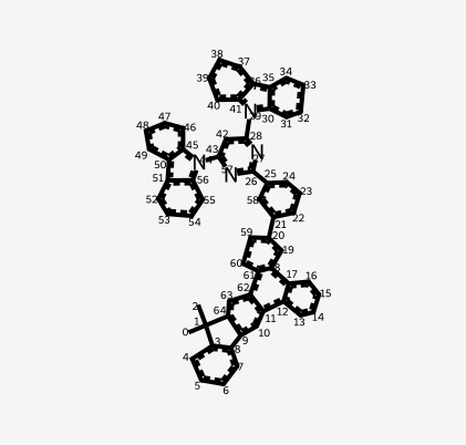 CC1(C)c2ccccc2-c2cc3c4ccccc4c4cc(-c5cccc(-c6nc(-n7c8ccccc8c8ccccc87)cc(-n7c8ccccc8c8ccccc87)n6)c5)ccc4c3cc21